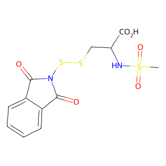 CS(=O)(=O)NC(CSSN1C(=O)c2ccccc2C1=O)C(=O)O